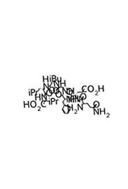 CC[C@H](C)[C@H](NC(=O)[C@H](C)NC(=O)[C@H](Cc1ccccc1)NC(=O)[C@H](CCC(=O)O)NC(=O)[C@@H](N)CCC(N)=O)C(=O)N[C@@H](CC(C)C)C(=O)N[C@H](C(=O)O)C(C)C